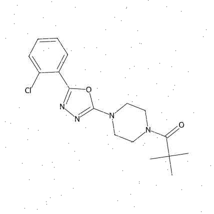 CC(C)(C)C(=O)N1CCN(c2nnc(-c3ccccc3Cl)o2)CC1